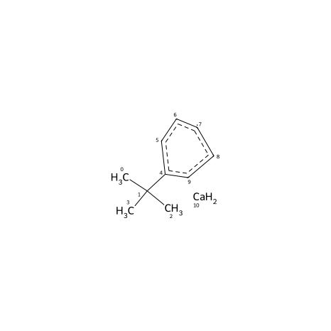 CC(C)(C)c1cc[c]cc1.[CaH2]